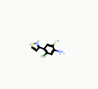 Nc1cc(Cl)c(-c2ccsn2)cc1F